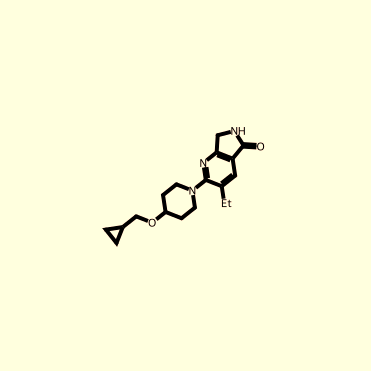 CCc1cc2c(nc1N1CCC(OCC3CC3)CC1)CNC2=O